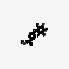 NC(=O)N1CCC(Oc2c(F)c(F)c(F)c(F)c2F)CC1